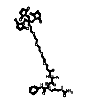 CC(C)[C@H](NC(=O)CCOCCOCCOCCOCCOC(CN1C(=O)C=CC1=O)(CN1C(=O)C=CC1=O)CN1C(=O)C=CC1=O)C(=O)N[C@@H](CCCNC(N)=O)C(=O)Nc1ccccc1